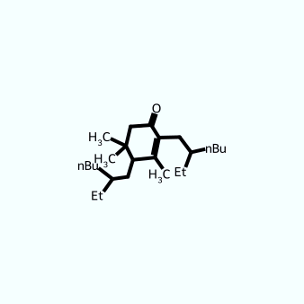 CCCCC(CC)CC1=C(C)C(CC(CC)CCCC)C(C)(C)CC1=O